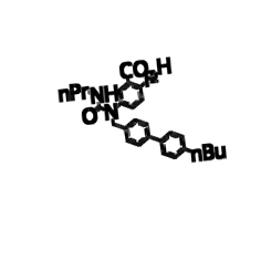 CCCCc1ccc(-c2ccc(CN(C(=O)NCCC)c3ccc(F)c(C(=O)O)c3)cc2)cc1